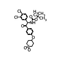 CC(C)(C)OC(=O)NC(C(=O)c1ccc(OC2CCS(=O)(=O)CC2)cc1)c1ccc(Cl)c(Cl)c1